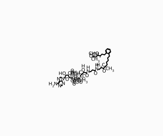 CC(C)(CCCCCc1ccccc1CCCCCC(C)(C)C(=O)CCNC(=O)CCNC(=O)C(O)C(C)(C)COP(=O)(O)OP(=O)(O)OCC1OC(n2cnc3c(N)ncnc32)C(O)C1OP(=O)(O)O)OC=O